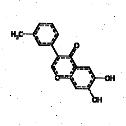 Cc1cccc(-c2coc3cc(O)c(O)cc3c2=O)c1